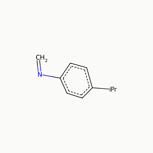 C=Nc1ccc(C(C)C)cc1